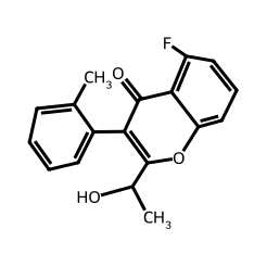 Cc1ccccc1-c1c(C(C)O)oc2cccc(F)c2c1=O